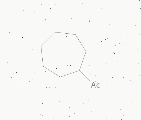 CC(=O)C1CCCCCC1